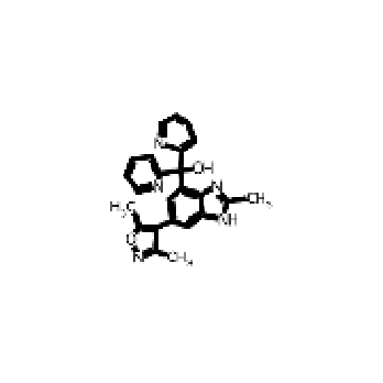 Cc1nc2c(C(O)(c3ccccn3)c3ccccn3)cc(-c3c(C)noc3C)cc2[nH]1